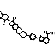 NC(=O)c1cccc2cn(-c3ccc(C4CCN(Cc5cc6c(cc5Br)C(=O)N(C5CCC(=O)NC5=O)C6)CC4)cc3)nc12